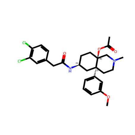 COc1cccc([C@@]23CCN(C)C[C@@]2(OC(C)=O)CC[C@H](NC(=O)Cc2ccc(Cl)c(Cl)c2)C3)c1